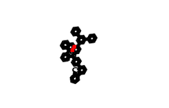 c1ccc(-c2cc(-c3ccccc3)cc(-c3ccc(N(c4ccc(-c5cccc6c5sc5ccccc56)cc4)c4ccccc4-c4cccc5ccccc45)cc3)c2)cc1